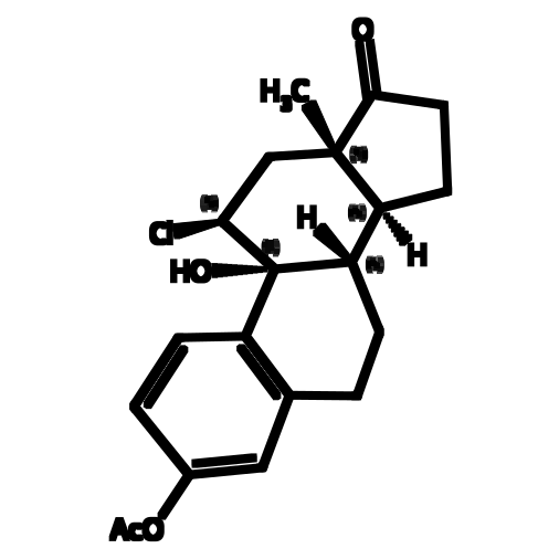 CC(=O)Oc1ccc2c(c1)CC[C@H]1[C@@H]3CCC(=O)[C@@]3(C)C[C@H](Cl)[C@]21O